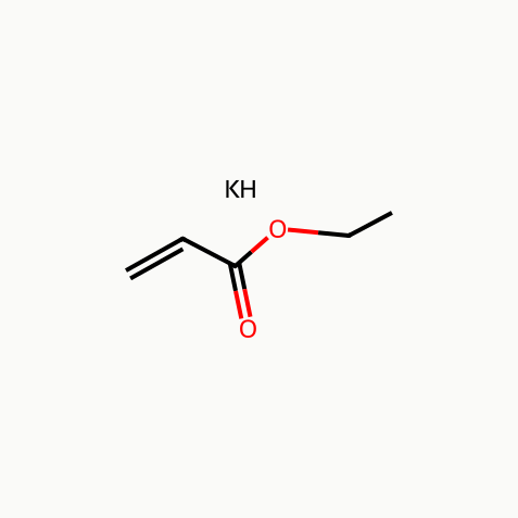 C=CC(=O)OCC.[KH]